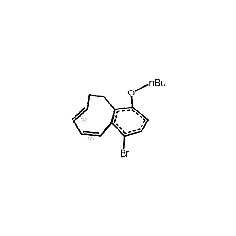 CCCCOc1ccc(Br)c2c1CC/C=C/C=C\2